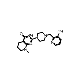 CN1CCCc2c1nc(N1CCN(Cc3ncccc3O)CC1)[nH]c2=O